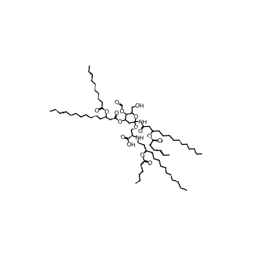 CCCCCCCCCCCC(CCNC(COC1(NC(=O)CC(CCCCCCCCCCC)OC(=O)CCCCC)CC(OC(=O)CC(CCCCCCCCCCC)OC(=O)CCCCCCCCC)C(OC=O)C(CO)O1)C(=O)O)OC(=O)CCCCC